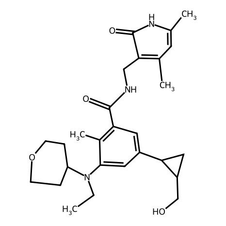 CCN(c1cc(C2CC2CO)cc(C(=O)NCc2c(C)cc(C)[nH]c2=O)c1C)C1CCOCC1